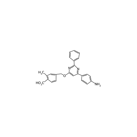 Cc1cc(COc2cc(-c3ccc(N)cc3)nc(-c3ccccc3)n2)ccc1C(=O)O